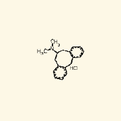 CN(C)C1Cc2ccccc2Cc2ccccc2C1.Cl